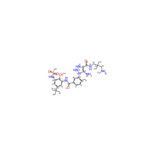 COc1c(NC(=O)c2ccc(C)c(N3NNC(C(=O)NCC(C)(C)CN(C)C)=C3N)c2)cc(C(C)(C)C)cc1NS(C)(=O)=O